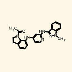 CC(=O)N1CCc2cccc(Nc3ccnc(Nc4nn(C)c5ccccc45)c3)c21